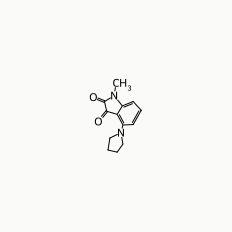 CN1C(=O)C(=O)c2c(N3CCCC3)cccc21